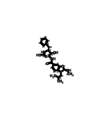 CNC1Oc2cc(C(=O)NC[C@H](O)[C@H](Cc3ccccc3)NC(=O)O)ccc2N1CC(C)C